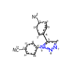 N#Cc1ccc(-c2cnnn2-c2ccc(C#N)cc2)cc1